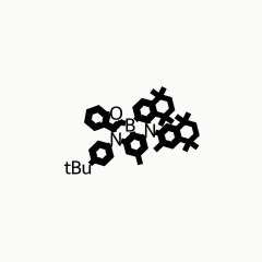 Cc1cc2c3c(c1)N(c1ccc(C(C)(C)C)cc1)c1c(oc4ccccc14)B3c1ccc3c(c1N2c1cc2c(cc1C)C(C)(C)CCC2(C)C)C(C)(C)CCC3(C)C